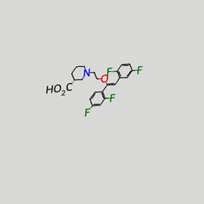 O=C(O)[C@@H]1CCCN(CCO/C(=C\c2cc(F)ccc2F)c2ccc(F)cc2F)C1